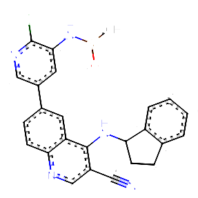 C[S+]([O-])Nc1cc(-c2ccc3ncc(C#N)c(NC4CCc5ccccc54)c3c2)cnc1Cl